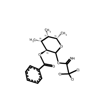 C[C@@H]1[C@H](C)[C@H](C)OC(OC(=N)C(Cl)(Cl)Cl)[C@H]1OC(=O)c1ccccc1